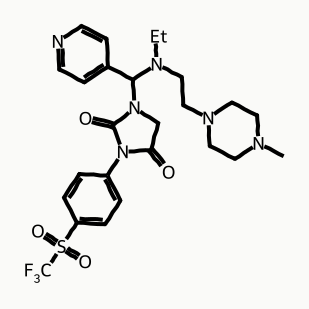 CCN(CCN1CCN(C)CC1)C(c1ccncc1)N1CC(=O)N(c2ccc(S(=O)(=O)C(F)(F)F)cc2)C1=O